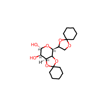 O[C@H]1[C@H](O)O[C@@H](C2COC3(CCCCC3)O2)C2OC3(CCCCC3)O[C@H]21